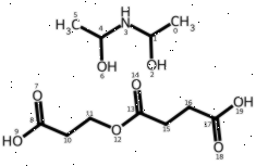 CC(O)NC(C)O.O=C(O)CCOC(=O)CCC(=O)O